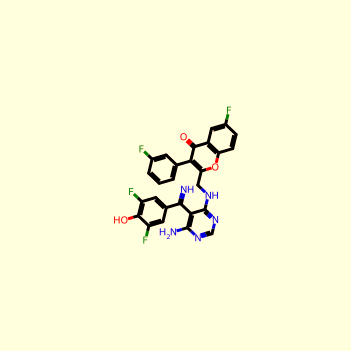 N=C(c1cc(F)c(O)c(F)c1)c1c(N)ncnc1NCc1oc2ccc(F)cc2c(=O)c1-c1cccc(F)c1